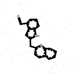 O=Cc1cccc2[nH]c(Cc3ccc4ccccc4n3)cc12